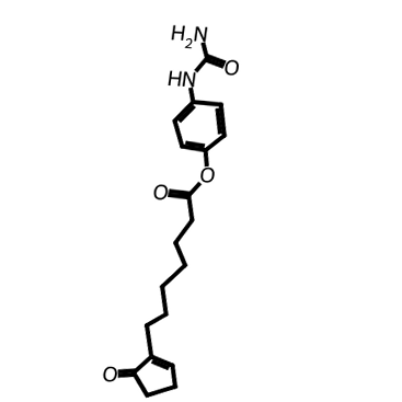 NC(=O)Nc1ccc(OC(=O)CCCCCCC2=CCCC2=O)cc1